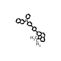 CC1(C)c2cccc3ccc4cc(-c5ccc(-c6ccc(N(c7ccccc7)c7ccc8ccccc8c7)cc6)cc5)cc1c4c23